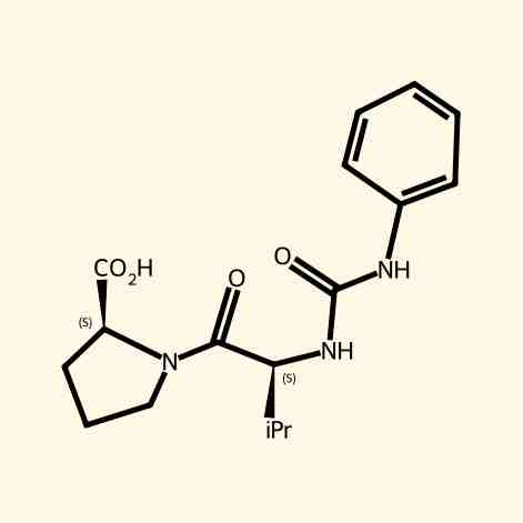 CC(C)[C@H](NC(=O)Nc1ccccc1)C(=O)N1CCC[C@H]1C(=O)O